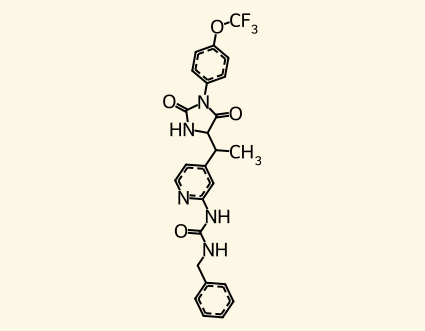 CC(c1ccnc(NC(=O)NCc2ccccc2)c1)C1NC(=O)N(c2ccc(OC(F)(F)F)cc2)C1=O